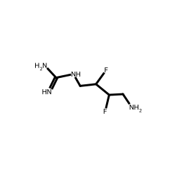 N=C(N)NCC(F)C(F)CN